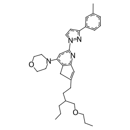 CCCOCC(CCC)CCC1=Cc2nc(-n3ccc(-c4cccc(C)c4)n3)cc(N3CCOCC3)c2C1